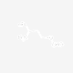 CCCC(C)CCO[C]=O